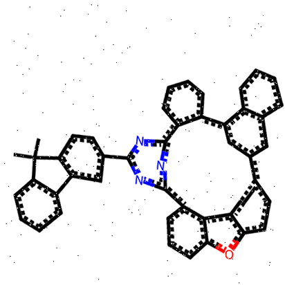 CC1(C)c2ccccc2-c2cc(-c3nc4nc(n3)c3cccc5oc6ccc(cc6c53)c3cc5ccccc5c(c3)c3ccccc43)ccc21